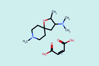 CC1OC2(CCN(C)CC2)CC1N(C)C.O=C(O)/C=C\C(=O)O